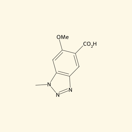 COc1cc2c(cc1C(=O)O)nnn2C